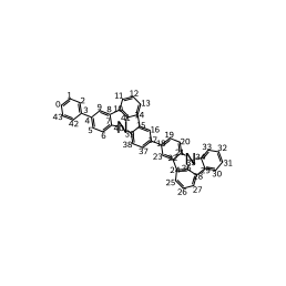 c1ccc(-c2ccc3c(c2)c2cccc4c5cc(-c6ccc7c(c6)c6cccc8c9ccccc9n7c86)ccc5n3c24)cc1